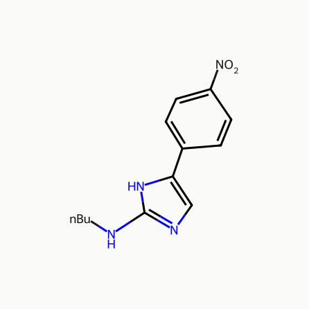 CCCCNc1ncc(-c2ccc([N+](=O)[O-])cc2)[nH]1